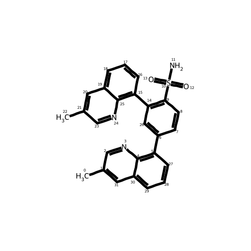 Cc1cnc2c(-c3ccc(S(N)(=O)=O)c(-c4cccc5cc(C)cnc45)c3)cccc2c1